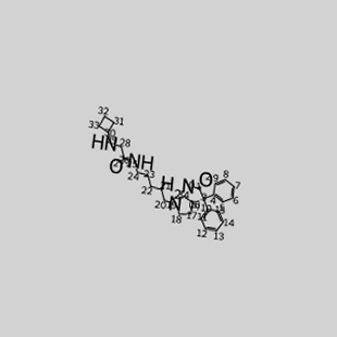 NC(=O)C(c1ccccc1)(c1ccccc1)[C@@H]1CCN(CCCCCNC(=O)CNC2CCC2)C1